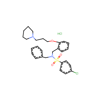 Cl.O=S(=O)(c1ccc(Cl)cc1)N(Cc1ccccc1)Cc1ccccc1OCCCN1CCCCC1